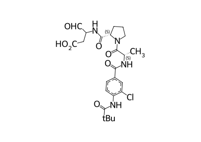 C[C@H](NC(=O)c1ccc(NC(=O)C(C)(C)C)c(Cl)c1)C(=O)N1CCC[C@H]1C(=O)NC(C=O)CC(=O)O